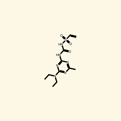 C=CS(=O)(=O)NC(=O)Nc1nc(C)nc(N(CC)CC)n1